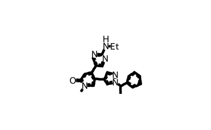 CCNc1ncc(-c2cc(=O)n(C)cc2-c2cnn(C(C)c3ccccc3)c2)cn1